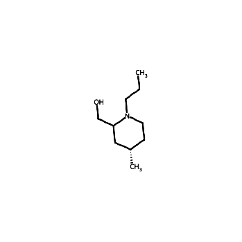 CCCN1CC[C@H](C)CC1CO